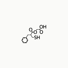 O=C(O)COC(=O)C(CS)Cc1ccccc1